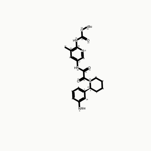 CNc1cccc([C@@H]2CCCCN2C(=O)C(=O)Nc2cnc(NC(=O)OC(C)(C)C)c(C)c2)c1